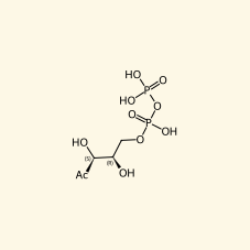 CC(=O)[C@@H](O)[C@H](O)COP(=O)(O)OP(=O)(O)O